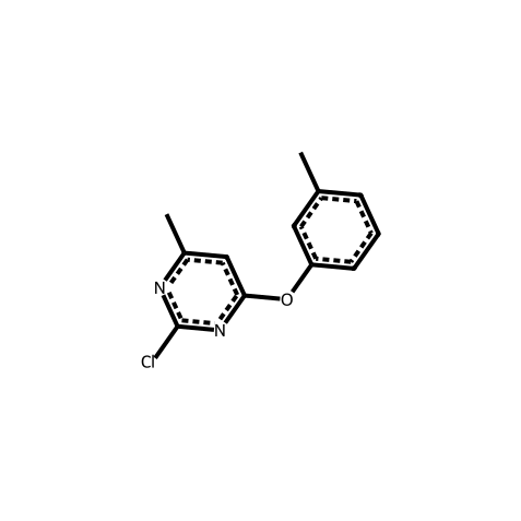 Cc1cccc(Oc2cc(C)nc(Cl)n2)c1